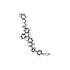 CCOC(=O)c1ccc(-c2ccc(C(=O)Nc3ccc(C4Cc5cnc(NCCCN6CCNCC6)nc5-c5ccccc54)cc3)o2)cc1